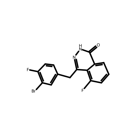 O=c1[nH]nc(Cc2ccc(F)c(Br)c2)c2c(F)cccc12